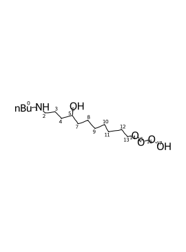 CCCCNCCCC(O)CCCCCCCOOOO